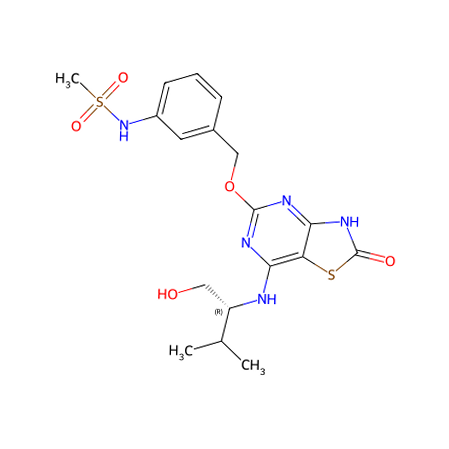 CC(C)[C@H](CO)Nc1nc(OCc2cccc(NS(C)(=O)=O)c2)nc2[nH]c(=O)sc12